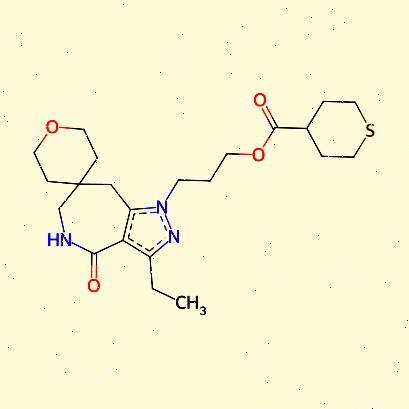 CCc1nn(CCCOC(=O)C2CCSCC2)c2c1C(=O)NCC1(CCOCC1)C2